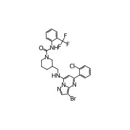 O=C(Nc1ccccc1C(F)(F)F)N1CCCC(CNc2cc(-c3ccccc3Cl)nc3c(Br)cnn23)C1